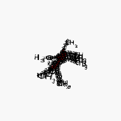 CCCCCCCCCc1ccccc1-c1c(CCCCCCCCC)ccc(OP(Oc2ccc(CCCCCCCCC)c(-c3ccccc3CCCCCCCCC)c2-c2ccccc2CCCCCCCCC)Oc2ccc(CCCCCCCCC)c(-c3ccccc3CCCCCCCCC)c2-c2ccccc2CCCCCCCCC)c1-c1ccccc1CCCCCCCCC